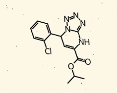 CC(C)OC(=O)C1=CC(c2ccccc2Cl)n2nnnc2N1